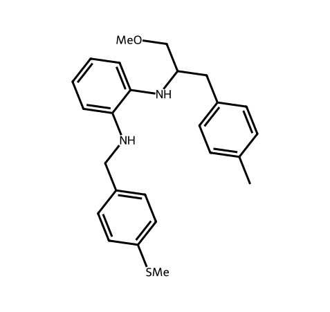 COCC(Cc1ccc(C)cc1)Nc1ccccc1NCc1ccc(SC)cc1